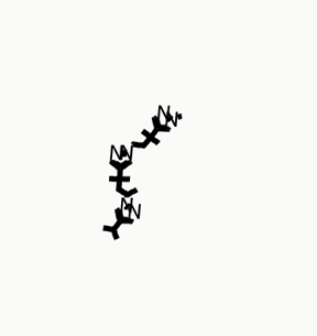 CC(C)c1cnn(C(C)CC(C)(C)c2cnn(CCC(C)(C)c3cnn(C)c3)c2)c1